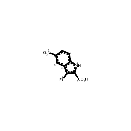 CCc1c(C(=O)O)[nH]c2ccc([N+](=O)[O-])cc12